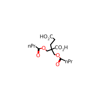 CCCC(=O)OCC(CCC(=O)O)(COC(=O)CCC)C(=O)O